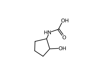 O=C(O)NC1CCCC1O